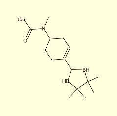 CN(C(=O)C(C)(C)C)C1CC=C(C2BC(C)(C)C(C)(C)B2)CC1